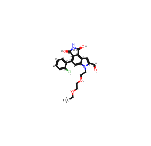 CCOCCOCCn1c(C=O)cc2c3c(c(-c4ccccc4Cl)cc21)C(=O)NC3=O